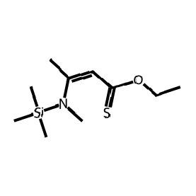 CCOC(=S)C=C(C)N(C)[Si](C)(C)C